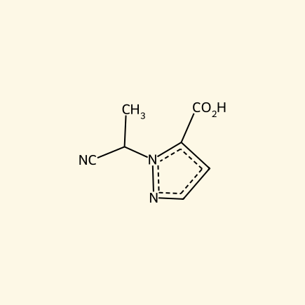 CC(C#N)n1nccc1C(=O)O